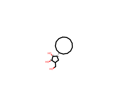 OCC1C[C@@H](C2CCCCCCCCCCCC2)[C@H](O)[C@@H]1O